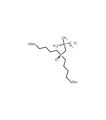 CCCCCCCCCCCCCCP(=O)(CCCCCCCCCCCCCC)C[N+](C)(C)C.[Cl-]